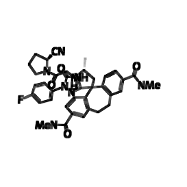 CNC(=O)c1ccc2c(c1)CCc1cc(C(=O)NC)ccc1C2(C[C@@H](C)NCC(=O)N1CCC[C@H]1C#N)c1nn(-c2ccc(F)cc2)c(=O)[nH]1